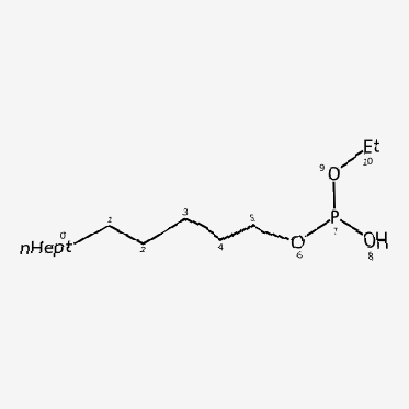 CCCCCCCCCCCCOP(O)OCC